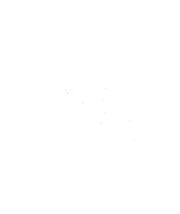 C=CNc1ccc(Cl)c(-c2ccc(C)cc2)c1